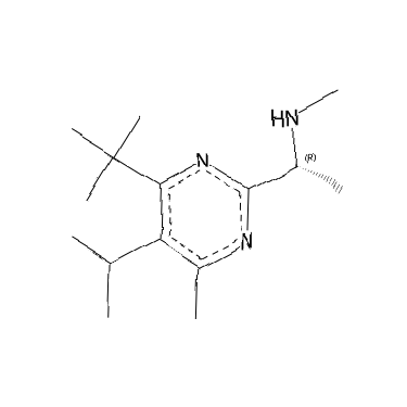 CN[C@H](C)c1nc(C)c(C(C)C)c(C(C)(C)C)n1